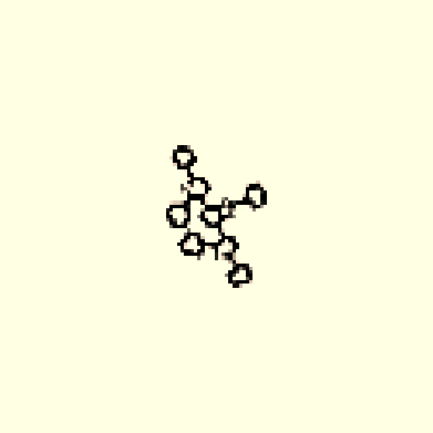 c1ccc(-c2ccc(-c3ccc(-c4ccc(-c5ccccc5)nc4-c4ccccc4)c4sc(-c5ccccc5)nc34)c(-c3ccccc3)n2)cc1